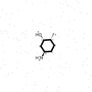 C[C@@H]1CC[C@@H](N)C[C@@H]1O